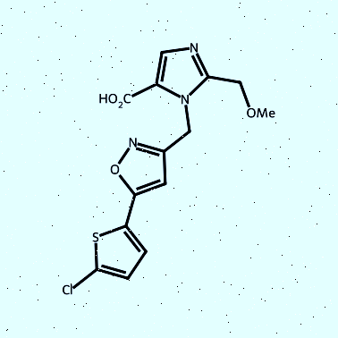 COCc1ncc(C(=O)O)n1Cc1cc(-c2ccc(Cl)s2)on1